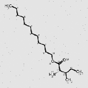 CCCCCCCCCCCCOC(=O)[C@@H](N)C(C)CC